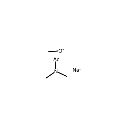 CC(=O)N(C)C.C[O-].[Na+]